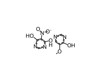 COc1cncnc1O.O=[N+]([O-])c1c(O)ncnc1O